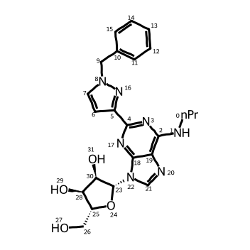 CCCNc1nc(-c2ccn(Cc3ccccc3)n2)nc2c1ncn2[C@@H]1O[C@H](CO)[C@@H](O)[C@H]1O